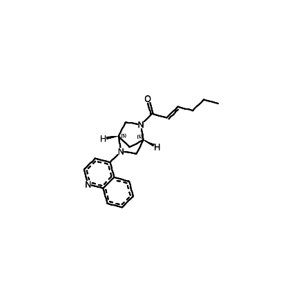 CCCC=CC(=O)N1C[C@@H]2C[C@H]1CN2c1ccnc2ccccc12